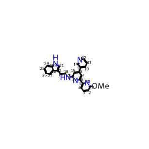 COc1cccc(-c2cc(-c3cccnc3)cc(NCCc3c[nH]c4ccccc34)n2)n1